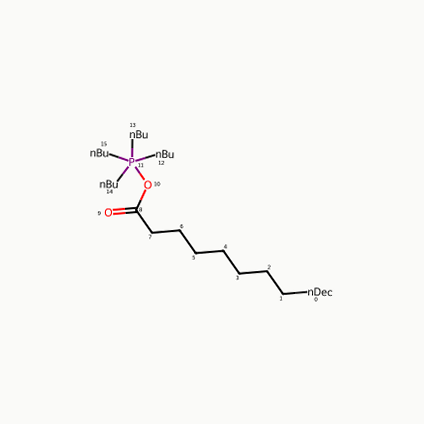 CCCCCCCCCCCCCCCCCC(=O)OP(CCCC)(CCCC)(CCCC)CCCC